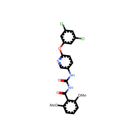 COc1cccc(OC)c1C(=O)NC(=O)Nc1ccc(Oc2cc(Cl)cc(Cl)c2)nc1